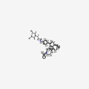 CCCC(CCC)CC/C=C/c1ccc(C2=CCC3=CN=CC=C(N4CC/C=C(\C(C)=O)CCC4)C3=C2)cc1